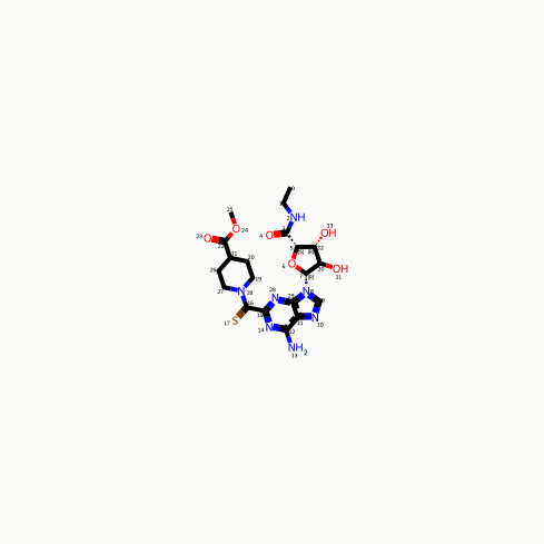 CCNC(=O)[C@H]1O[C@@H](n2cnc3c(N)nc(C(=S)N4CCC(C(=O)OC)CC4)nc32)C(O)[C@H]1O